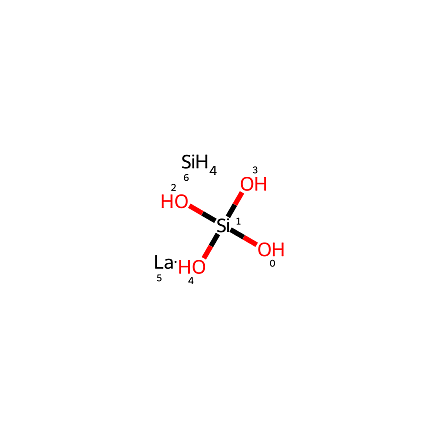 O[Si](O)(O)O.[La].[SiH4]